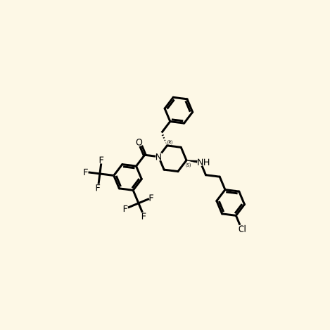 O=C(c1cc(C(F)(F)F)cc(C(F)(F)F)c1)N1CC[C@H](NCCc2ccc(Cl)cc2)C[C@H]1Cc1ccccc1